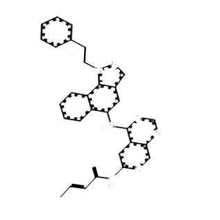 O=C(C=CCl)Nc1cc2c(Nc3cc4cnn(CCc5ccccc5)c4c4ccccc34)ncnc2cn1